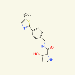 CCCCCCCCc1cnc(-c2ccc(CNC(=O)C3NCC[C@@H]3O)cc2)s1